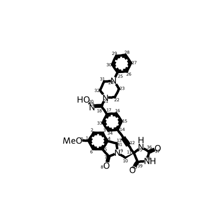 COc1ccc2c(c1)C(=O)N(C[C@@]1(C#Cc3ccc(C(=NO)N4CCN(c5ccccc5)CC4)cc3)NC(=O)NC1=O)C2